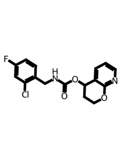 O=C(NCc1ccc(F)cc1Cl)OC1CCOc2ncccc21